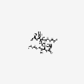 CCCCCCNC(CC(C)=O)C(=O)O.CCCCCCOC(=O)C(N)CC(C)=O